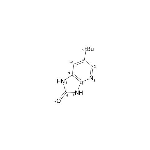 CC(C)(C)c1cnc2[nH]c(=O)[nH]c2c1